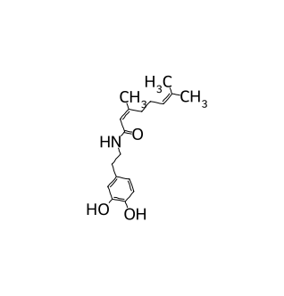 CC(C)=CCCC(C)=CC(=O)NCCc1ccc(O)c(O)c1